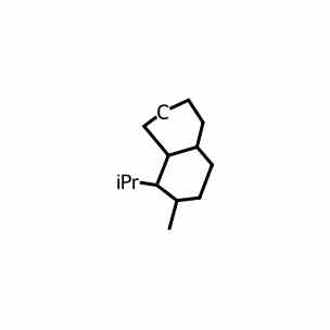 CC(C)C1C(C)CCC2CCCCC21